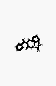 CC1Cn2c(=O)[nH]c3cccc(c32)CN1C(C)c1ccccc1